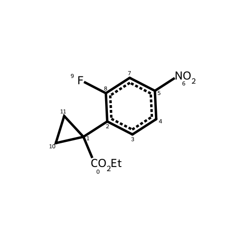 CCOC(=O)C1(c2ccc([N+](=O)[O-])cc2F)CC1